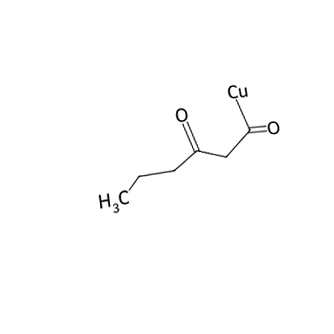 CCCC(=O)C[C](=O)[Cu]